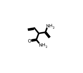 C=CC(C(=C)N)C(N)=O